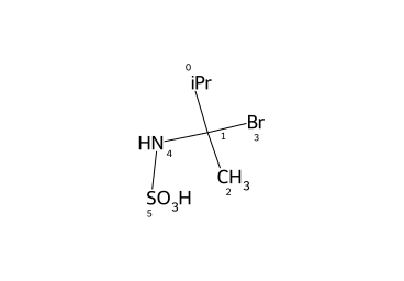 CC(C)C(C)(Br)NS(=O)(=O)O